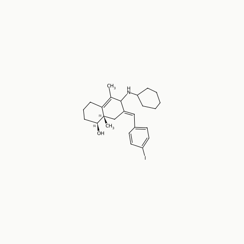 CC1=C2CCC[C@H](O)[C@@]2(C)CC(=Cc2ccc(I)cc2)C1NC1CCCCC1